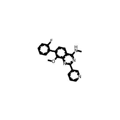 CNc1nc(-c2cccnc2)nc2c(OC)c(-c3ccccc3F)ccc12